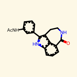 CC(=O)Nc1cccc(-c2[nH]c3cccc4c3c2CCNC4=O)c1